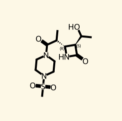 CC(C(=O)N1CCN(S(C)(=O)=O)CC1)[C@H]1NC(=O)[C@@H]1C(C)O